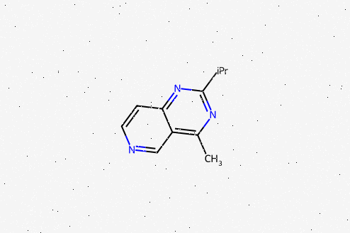 Cc1nc(C(C)C)nc2ccncc12